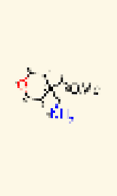 COCC1(CN)CCOCC1